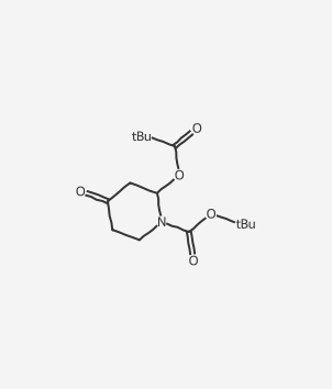 CC(C)(C)OC(=O)N1CCC(=O)CC1OC(=O)C(C)(C)C